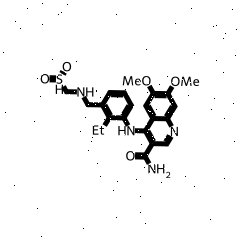 CCc1c(CNC[SH](=O)=O)cccc1Nc1c(C(N)=O)cnc2cc(OC)c(OC)cc12